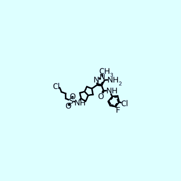 Cn1nc(C2CC3CC(NS(=O)(=O)CCCCl)CC3C2)c(C(=O)Nc2ccc(F)c(Cl)c2)c1N